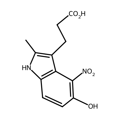 Cc1[nH]c2ccc(O)c([N+](=O)[O-])c2c1CCC(=O)O